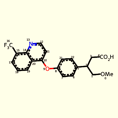 COCC(CC(=O)O)c1ccc(Oc2ccnc3c(C(F)(F)F)cccc23)cc1